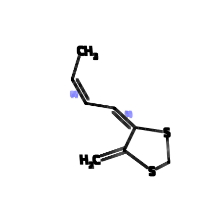 C=C1SCS/C1=C/C=C\C